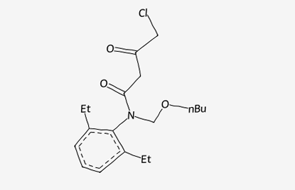 CCCCOCN(C(=O)CC(=O)CCl)c1c(CC)cccc1CC